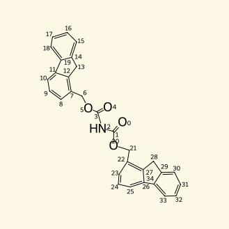 O=C(NC(=O)OCc1cccc2c1Cc1ccccc1-2)OCc1cccc2c1Cc1ccccc1-2